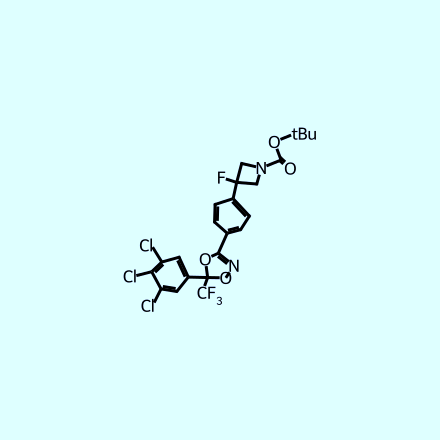 CC(C)(C)OC(=O)N1CC(F)(c2ccc(C3=NOC(c4cc(Cl)c(Cl)c(Cl)c4)(C(F)(F)F)O3)cc2)C1